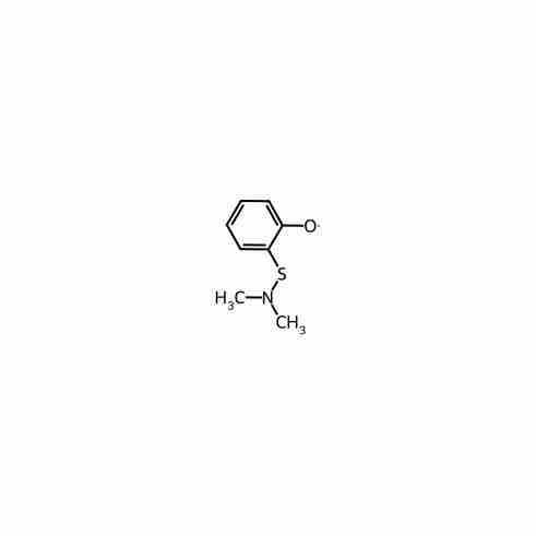 CN(C)Sc1ccccc1[O]